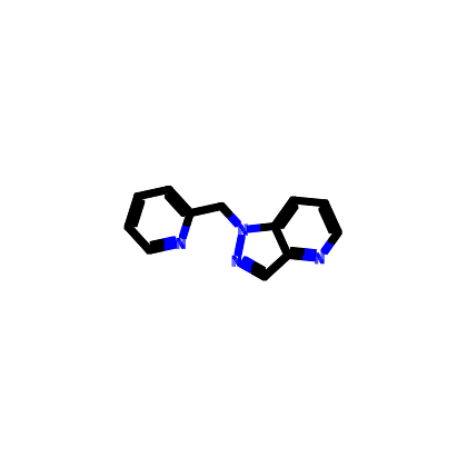 c1ccc(Cn2ncc3ncccc32)nc1